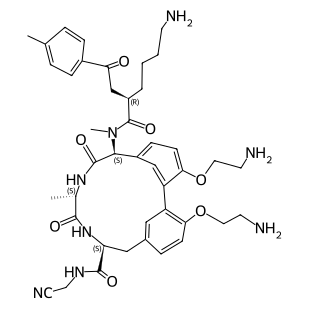 Cc1ccc(C(=O)C[C@@H](CCCCN)C(=O)N(C)[C@@H]2C(=O)N[C@@H](C)C(=O)N[C@H](C(=O)NCC#N)Cc3ccc(OCCN)c(c3)-c3cc2ccc3OCCN)cc1